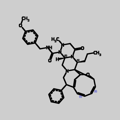 CCC[C@@H]1N2C(=O)CN(C)N(C(=O)NCc3ccc(OC)cc3)[C@H]2CN2CC(c3ccccc3)C3=CC4OC(/C=C\C=C/3)C412